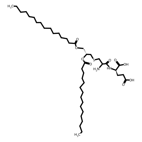 CCCCCCCCCCCCCCCC(=O)OC[C@H](CSCC(N)C(=O)N[C@H](CCC(=O)O)C(=O)O)OC(=O)CCCCCCCCCCCCCCC